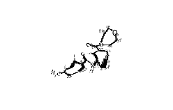 Cc1ccc(C(=O)Nc2c[c]cc(C(=O)N3CCOCC3)c2)cc1